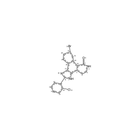 O=c1[nH]ccc2c3[nH]c(-c4ccncc4Cl)nc3c3ccc(Br)cc3c12